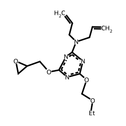 C=CCN(CC=C)c1nc(OCOCC)nc(OCC2CO2)n1